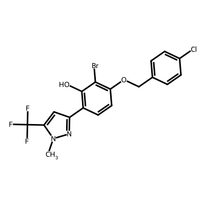 Cn1nc(-c2ccc(OCc3ccc(Cl)cc3)c(Br)c2O)cc1C(F)(F)F